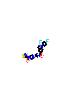 O=C(c1ccc2c(ccn2-c2ccc(F)cc2F)c1)N1CC(N2CCN(C(=O)c3cscn3)CC2)C1